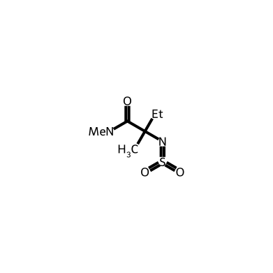 CCC(C)(N=S(=O)=O)C(=O)NC